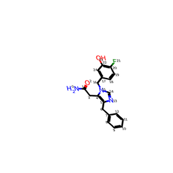 NC(=O)Cc1c(Cc2ccccc2)ncn1Cc1ccc(F)c(O)c1